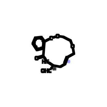 O=C[C@@H]1C/C=C/COCCOCc2ccccc2C(=O)N1